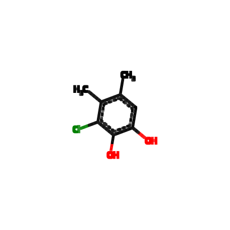 Cc1cc(O)c(O)c(Cl)c1C